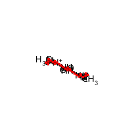 CN(N=Cc1cc[n+](CCCCCCNC(=O)c2ccc(C(=O)NCCCCCC[n+]3ccc(C=NN(C)c4ccccc4)cc3)cc2)cc1)c1ccccc1